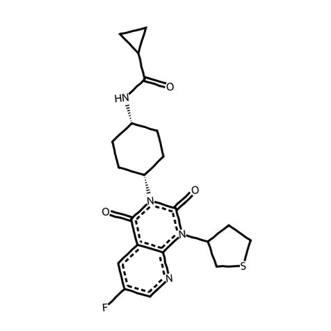 O=C(N[C@H]1CC[C@@H](n2c(=O)c3cc(F)cnc3n(C3CCSC3)c2=O)CC1)C1CC1